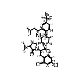 CC(C)CC(N)c1cc(C(F)(F)F)ccc1N1CCN(C(=O)C(Cc2ccc(Cl)cc2Cl)N2CCC(N(C)C)C2=O)CC1